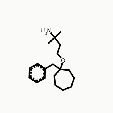 CC(C)(N)CCOC1(Cc2ccccc2)CCCCCC1